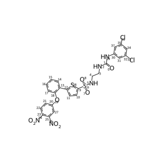 O=C(NCCNS(=O)(=O)c1ccc(-c2ccccc2Oc2ccc([N+](=O)[O-])c([N+](=O)[O-])c2)s1)Nc1cc(Cl)cc(Cl)c1